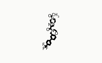 CC(=O)N1CCn2cc(C(=O)N3CCOc4ccc(-c5ccc(C(F)(F)F)cc5)cc4C3)nc2C1